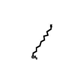 CCCCCCCCCC[CH2][K]